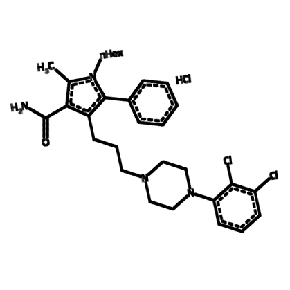 CCCCCCn1c(C)c(C(N)=O)c(CCCN2CCN(c3cccc(Cl)c3Cl)CC2)c1-c1ccccc1.Cl